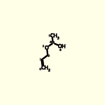 C=CCOP(C)O